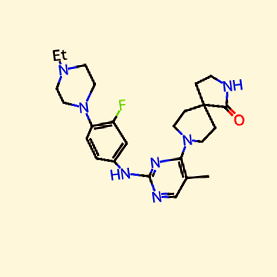 CCN1CCN(c2ccc(Nc3ncc(C)c(N4CCC5(CCNC5=O)CC4)n3)cc2F)CC1